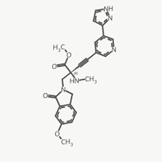 CN[C@](C#Cc1cncc(-c2cc[nH]n2)c1)(CN1Cc2ccc(OC)cc2C1=O)C(=O)OC